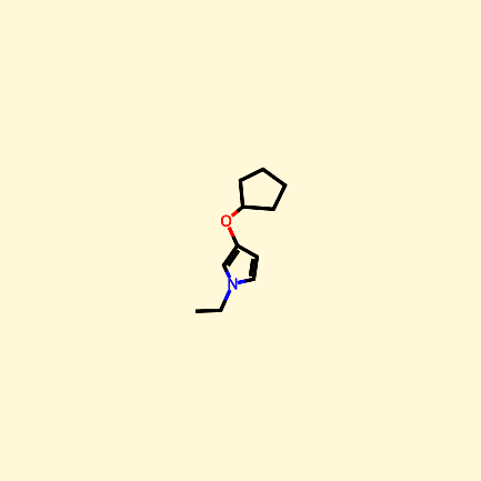 CCn1ccc(OC2CCCC2)c1